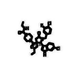 CCCC[C@@]1(C(=O)N2CCN(C(=O)NCC)CC2)CC(=O)N(Cc2ccc(Cl)c(F)c2)[C@H]1c1c[nH]c2cc(Cl)ccc12